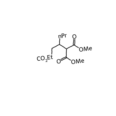 CCCC(CC(=O)OCC)C(C(=O)OC)C(=O)OC